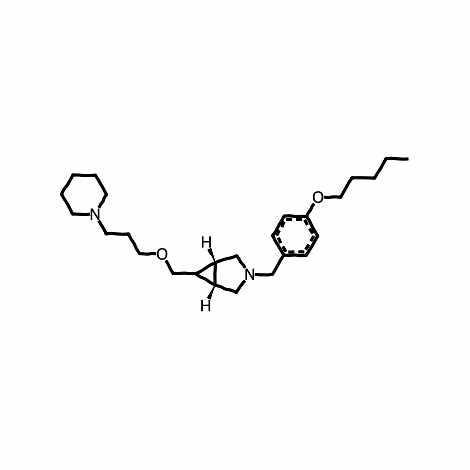 CCCCCOc1ccc(CN2C[C@@H]3C(COCCCN4CCCCC4)[C@@H]3C2)cc1